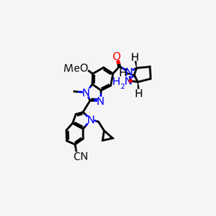 COc1cc(C(=O)N2C[C@H]3CC[C@@H]2[C@H]3N)cc2nc(-c3cc4ccc(C#N)cc4n3CC3CC3)n(C)c12